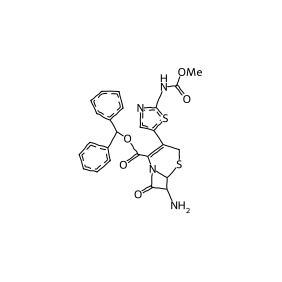 COC(=O)Nc1ncc(C2=C(C(=O)OC(c3ccccc3)c3ccccc3)N3C(=O)C(N)C3SC2)s1